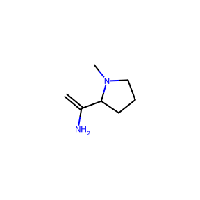 C=C(N)C1CCCN1C